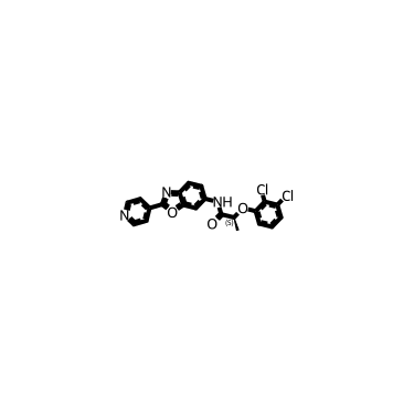 C[C@H](Oc1cccc(Cl)c1Cl)C(=O)Nc1ccc2nc(-c3ccncc3)oc2c1